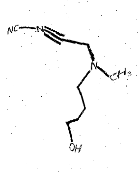 CN(CC#[N+]C#N)CCCO